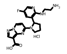 Cl.NCCNc1ncc(F)cc1C1CCCN1c1ccn2ncc(C(=O)O)c2n1